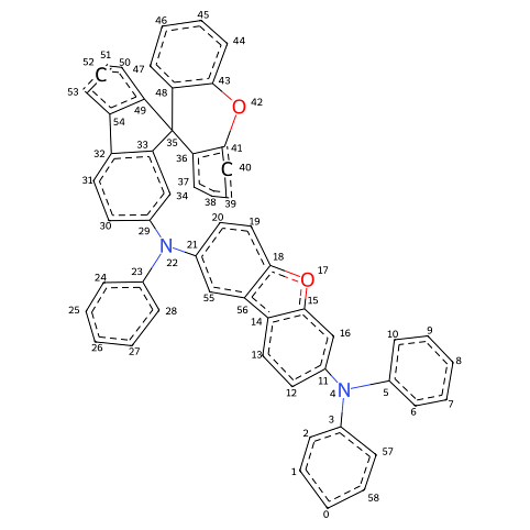 c1ccc(N(c2ccccc2)c2ccc3c(c2)oc2ccc(N(c4ccccc4)c4ccc5c(c4)C4(c6ccccc6Oc6ccccc64)c4ccccc4-5)cc23)cc1